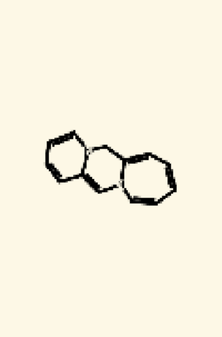 C1=CC=C2CN3C=CC=CC3=CN2C=C1